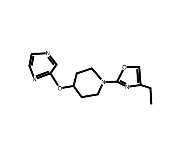 CCc1coc(N2CCC(Oc3cnccn3)CC2)n1